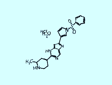 CC1CC(c2ncc3nc(-c4ccn(S(=O)(=O)c5ccccc5)c4)cc-3[nH]2)CCN1.Cl.O